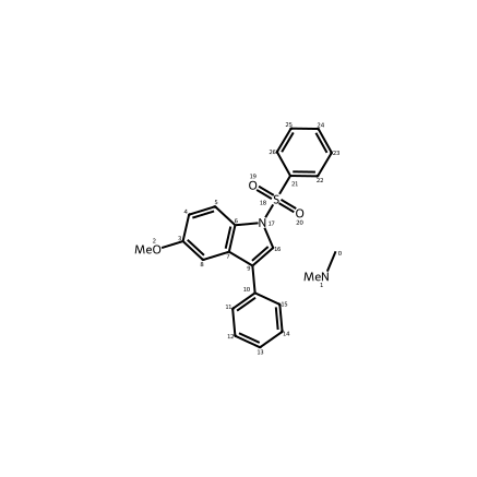 CNC.COc1ccc2c(c1)c(-c1ccccc1)cn2S(=O)(=O)c1ccccc1